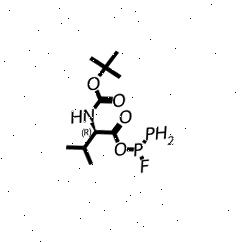 CC(C)[C@@H](NC(=O)OC(C)(C)C)C(=O)OP(F)P